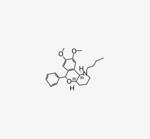 CCCCN1CCC[C@H]2OC(c3ccccc3)c3cc(OC)c(OC)cc3[C@H]21